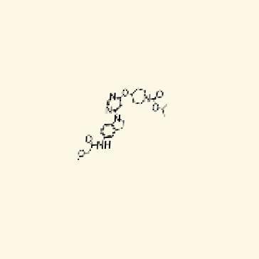 COCC(=O)Nc1ccc2c(c1)CCN2c1cc(OC2CCN(C(=O)OC(C)C)CC2)ncn1